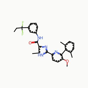 CCC(F)(F)c1cccc(NC(=O)c2nc(-c3ccc(OC)c(-c4c(C)cccc4C)n3)[nH]c2C)c1